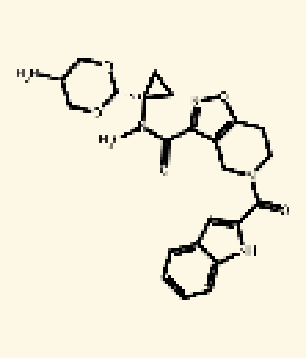 CN(C(=O)c1noc2c1CN(C(=O)c1cc3ccccc3[nH]1)CC2)C1([C@H]2OC[C@H](N)CO2)CC1